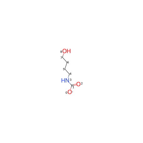 [O]C(=O)NCCCCO